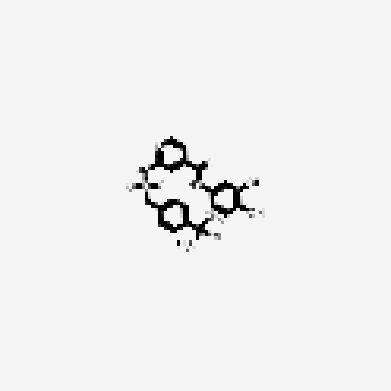 CC(C)(O)c1ccc(CS(=O)(=O)Nc2cc(C(=O)Nc3ccc(O)c(O)c3)ccn2)cc1